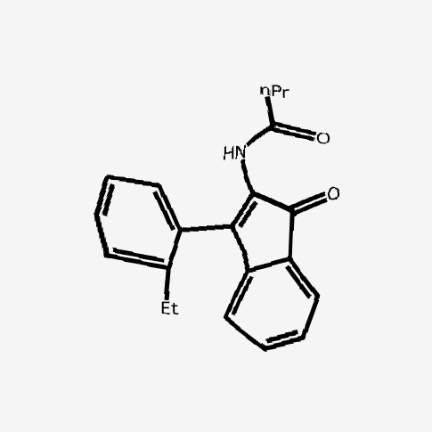 CCCC(=O)NC1=C(c2ccccc2CC)c2ccccc2C1=O